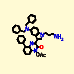 CC(=O)On1c(=O)c(-c2cn(CCCN)c3ccc(N(Cc4ccccc4)Cc4ccccc4)cc23)nc2c(-c3ccccc3)cccc21